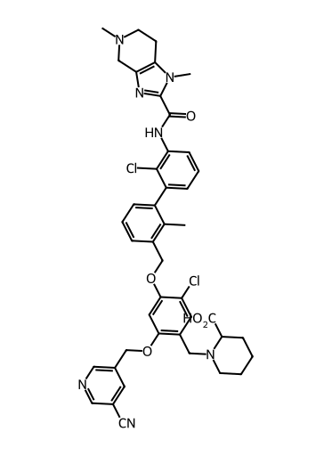 Cc1c(COc2cc(OCc3cncc(C#N)c3)c(CN3CCCCC3C(=O)O)cc2Cl)cccc1-c1cccc(NC(=O)c2nc3c(n2C)CCN(C)C3)c1Cl